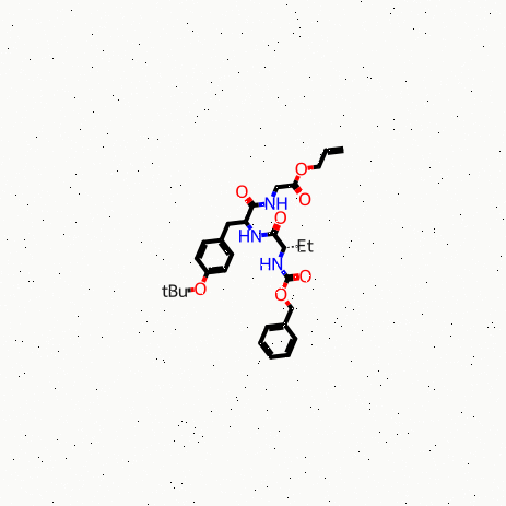 C=CCOC(=O)CNC(=O)C(Cc1ccc(OC(C)(C)C)cc1)NC(=O)[C@H](CC)NC(=O)OCc1ccccc1